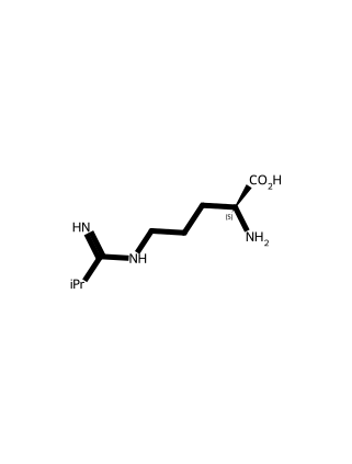 CC(C)C(=N)NCCC[C@H](N)C(=O)O